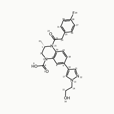 C[C@H]1CN(C(=O)O)c2cc(-c3cnn(CCO)c3)ccc2N1C(=O)Cc1ccc(F)cc1